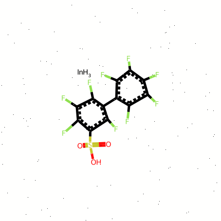 O=S(=O)(O)c1c(F)c(F)c(F)c(-c2c(F)c(F)c(F)c(F)c2F)c1F.[InH3]